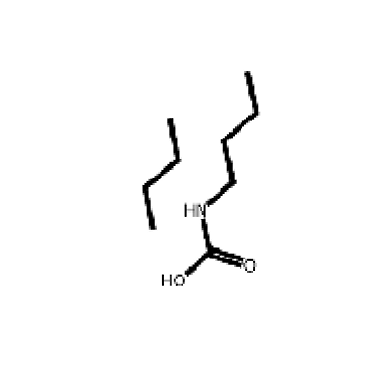 CCCC.CCCCNC(=O)O